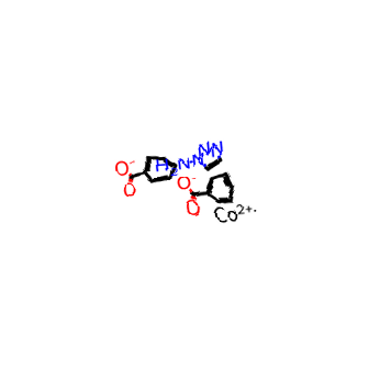 Nn1ccnn1.O=C([O-])c1ccccc1.O=C([O-])c1ccccc1.[Co+2]